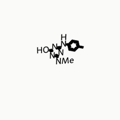 CNc1nc(O)nc(Nc2ccc(C)cc2)n1